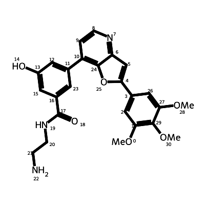 COc1cc(-c2cc3nccc(-c4cc(O)cc(C(=O)NCCN)c4)c3o2)cc(OC)c1OC